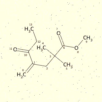 C=C(CC(C)(C)C(=O)OC)C(=O)CC